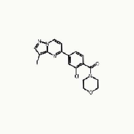 O=C(c1ccc(-c2ccn3ncc(I)c3n2)cc1Cl)N1CCOCC1